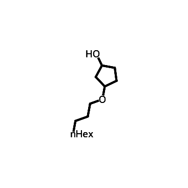 CCCCCCCCCOC1CCC(O)C1